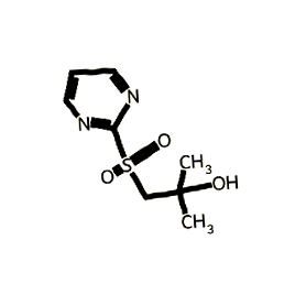 CC(C)(O)CS(=O)(=O)c1ncccn1